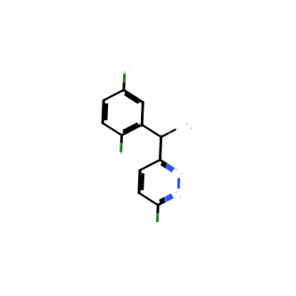 N#CC(c1ccc(Cl)nn1)c1cc(Cl)ccc1Cl